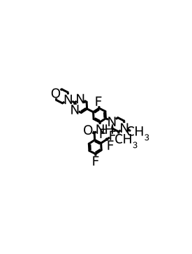 CC1CN(c2cc(F)c(-c3cnc(N4CCOCC4)nc3)cc2NC(=O)c2ccc(F)cc2C(F)(F)F)CCN1C